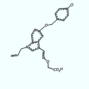 C=CCn1cc(/C=N/OCC(=O)O)c2cc(OCc3ccc(Cl)cc3)ccc21